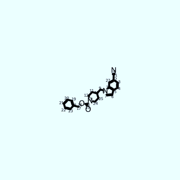 N#Cc1ccc2ccn(CC3CCN(C(=O)OCc4ccccc4)CC3)c2c1